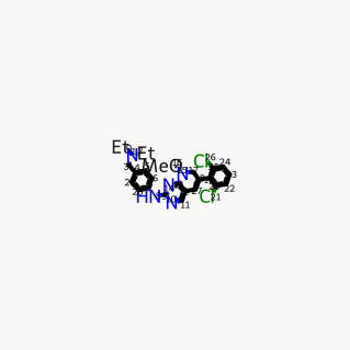 CCN(CC)Cc1ccc(Nc2ncc3c(n2)N(OC)CC(c2c(Cl)cccc2Cl)=C3)cc1